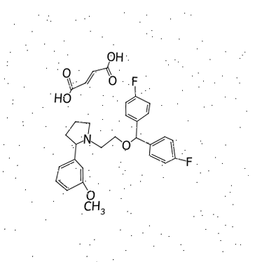 COc1cccc(C2CCCN2CCOC(c2ccc(F)cc2)c2ccc(F)cc2)c1.O=C(O)C=CC(=O)O